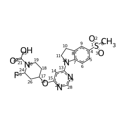 CS(=O)(=O)c1ccc2c(c1)CCN2c1cc(OC2CCN(C(=O)O)C(F)C2)ncn1